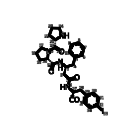 O=C(C[C@H](Cc1ccccc1)NC(=O)[C@@H]1CCCN1C(=O)[C@@H]1CCCN1)N[C@@H](Cc1ccc(I)cc1)C(=O)O